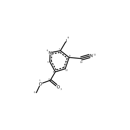 COC(=O)c1cnc(I)c(C#N)c1